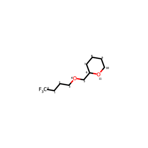 FC(F)(F)CCCOCC1CCCCO1